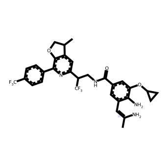 C/C(N)=C/c1cc(C(=O)NCC(c2cc3c(c(-c4ccc(C(F)(F)F)cc4)n2)OCC3C)C(F)(F)F)cc(OC2CC2)c1N